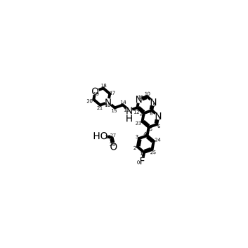 Fc1ccc(-c2cnc3ncnc(NCCN4CCOCC4)c3c2)cc1.O=CO